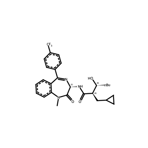 CCCC[C@@H](O)[C@@H](CC1CC1)C(=O)N[C@H]1N=C(c2ccc(C(F)(F)F)cc2)c2ccccc2N(C)C1=O